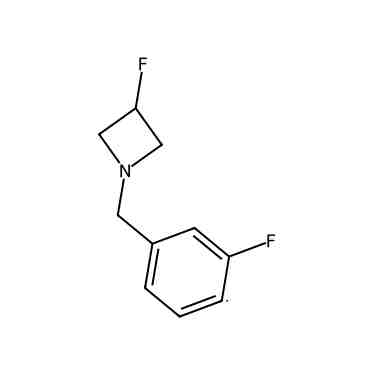 Fc1[c]ccc(CN2CC(F)C2)c1